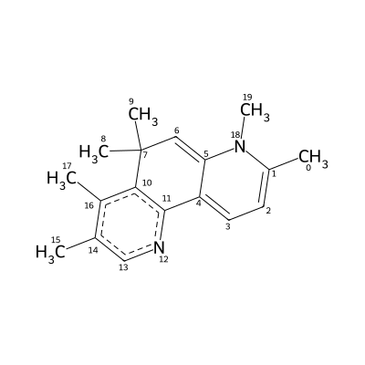 CC1=CC=C2C(=CC(C)(C)c3c2ncc(C)c3C)N1C